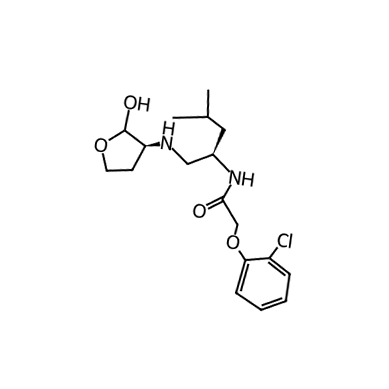 CC(C)C[C@H](CN[C@H]1CCOC1O)NC(=O)COc1ccccc1Cl